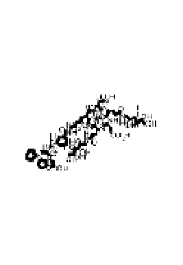 CC(C)(C)C(=O)CN1C(=O)[C@H](NC(=O)Nc2cccc(C(=O)NCCCCCCCC(=O)N[C@@H](CCC(=O)O)C(=O)N[C@@H](CCC(=O)NC[C@@H](O)[C@H](O)[C@@H](O)[C@@H](O)CO)C(=O)N[C@@H](CCC(=O)O)C(=O)N[C@@H](CCC(=O)NC[C@@H](O)[C@H](O)[C@@H](O)[C@@H](O)CO)C(=O)N[C@@H](CS)C(=O)O)c2)CN(C2CCCCC2)c2ccccc21